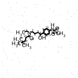 CCN(CCCC(O)c1ccc(NS(C)(=O)=O)cc1)C(=O)CCC(C)(C)C